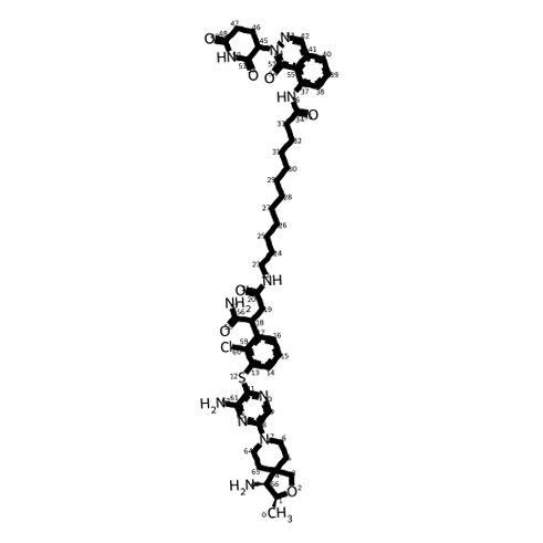 C[C@@H]1OCC2(CCN(c3cnc(Sc4cccc(C(CC(=O)NCCCCCCCCCCCC(=O)Nc5cccc6cnn(C7CCC(=O)NC7=O)c(=O)c56)C(N)=O)c4Cl)c(N)n3)CC2)[C@@H]1N